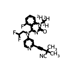 [2H]C([2H])([2H])n1c(=O)nc(N(CC(F)F)c2ccnc(C#CC(C)(C)C#N)c2)c2c(F)cccc21